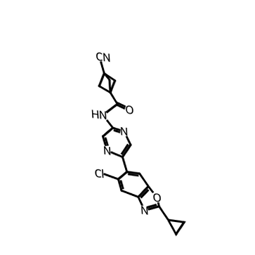 N#CC12CC(C(=O)Nc3cnc(-c4cc5oc(C6CC6)nc5cc4Cl)cn3)(C1)C2